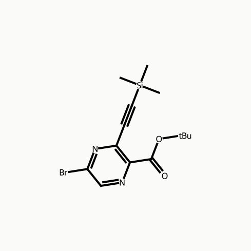 CC(C)(C)OC(=O)c1ncc(Br)nc1C#C[Si](C)(C)C